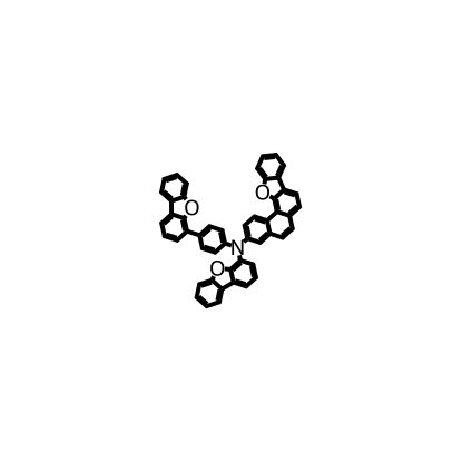 c1ccc2c(c1)oc1c(-c3ccc(N(c4ccc5c(ccc6ccc7c8ccccc8oc7c65)c4)c4cccc5c4oc4ccccc45)cc3)cccc12